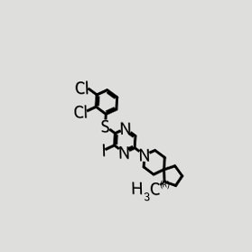 C[C@@H]1CCCC12CCN(c1cnc(Sc3cccc(Cl)c3Cl)c(I)n1)CC2